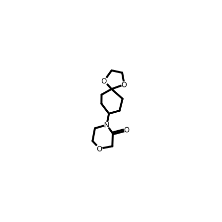 O=C1COCCN1C1CCC2(CC1)OCCO2